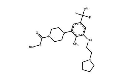 CCCC(F)(F)c1cc(NCCN2CCCC2)c(C)c(N2CCN(C(=O)OC(C)(C)C)CC2)c1